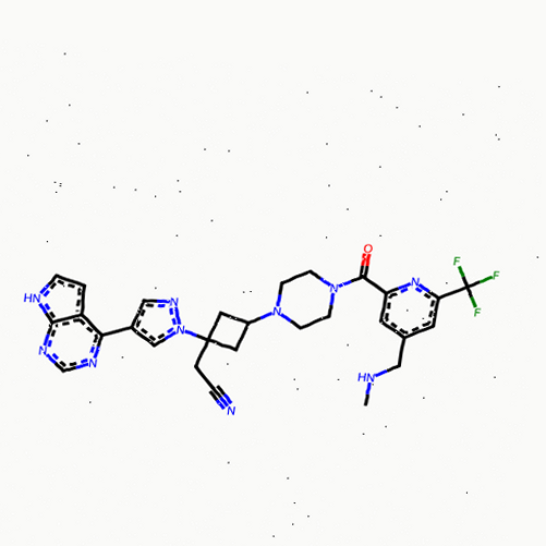 CNCc1cc(C(=O)N2CCN(C3CC(CC#N)(n4cc(-c5ncnc6[nH]ccc56)cn4)C3)CC2)nc(C(F)(F)F)c1